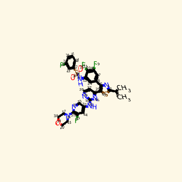 CC(C)c1nc(-c2cc(F)c(F)c(NS(=O)(=O)c3cccc(F)c3)c2)c(-c2ccnc(Nc3cnc(N4CCOCC4)c(F)c3)n2)s1